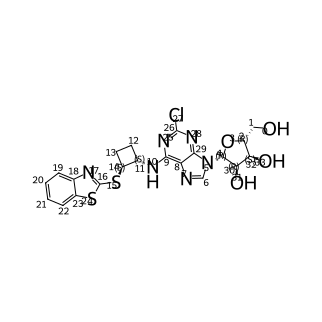 OC[C@H]1O[C@@H](n2cnc3c(N[C@H]4CC[C@@H]4Sc4nc5ccccc5s4)nc(Cl)nc32)[C@H](O)[C@@H]1O